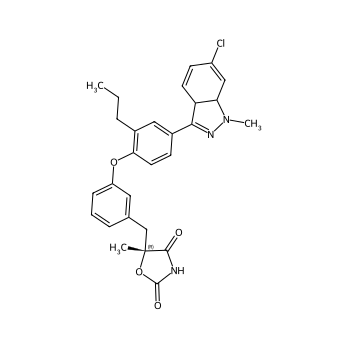 CCCc1cc(C2=NN(C)C3C=C(Cl)C=CC23)ccc1Oc1cccc(C[C@@]2(C)OC(=O)NC2=O)c1